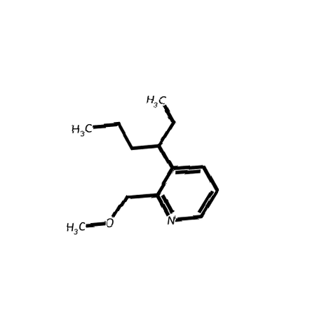 CCCC(CC)c1cccnc1COC